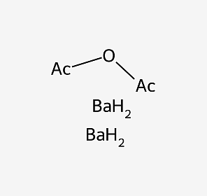 CC(=O)OC(C)=O.[BaH2].[BaH2]